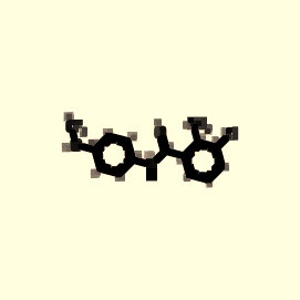 Nc1c(Cl)cccc1C(=O)Nc1ccc(OC(F)(F)F)cc1